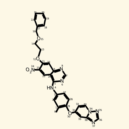 Cc1cc(Nc2ncnc3cc(OCCOCc4ccccc4)c([N+](=O)[O-])cc23)ccc1Oc1ccn2ncnc2c1